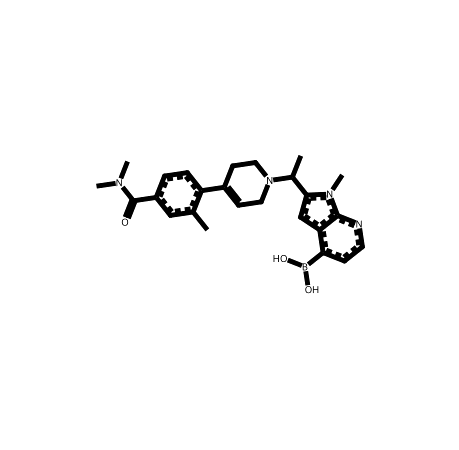 Cc1cc(C(=O)N(C)C)ccc1C1=CCN(C(C)c2cc3c(B(O)O)ccnc3n2C)CC1